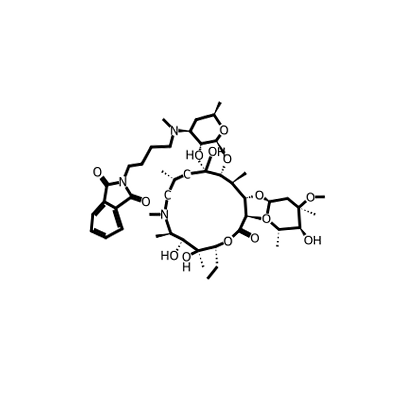 CC[C@H]1OC(=O)[C@H](C)[C@@H](O[C@H]2C[C@@](C)(OC)[C@@H](O)[C@H](C)O2)[C@H](C)[C@@H](O[C@@H]2O[C@H](C)C[C@H](N(C)CCCCN3C(=O)c4ccccc4C3=O)[C@H]2O)[C@](C)(O)C[C@@H](C)CN(C)[C@H](C)[C@@H](O)[C@]1(C)O